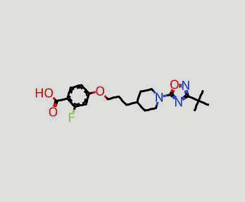 CC(C)(C)c1noc(N2CCC(CCCOc3ccc(C(=O)O)c(F)c3)CC2)n1